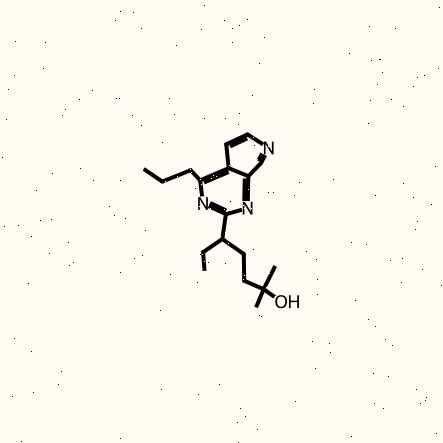 CCCc1nc(C(CC)CCC(C)(C)O)nc2cnccc12